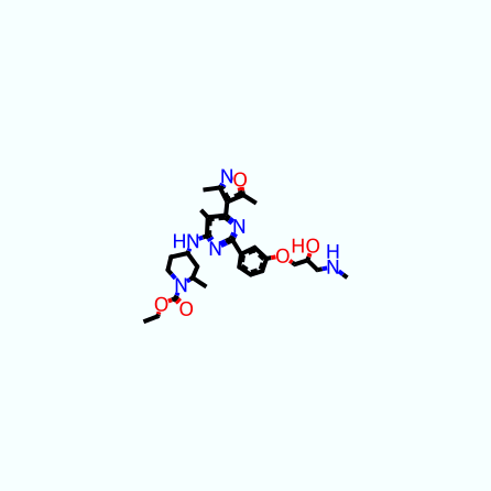 CCOC(=O)N1CCC(Nc2nc(-c3cccc(OCC(O)CNC)c3)nc(-c3c(C)noc3C)c2C)CC1C